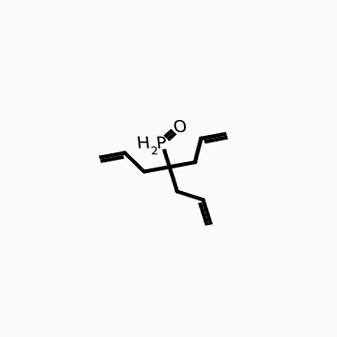 C=CCC(CC=C)(CC=C)[PH2]=O